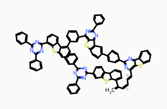 C=C(/C=C\C=C\c1nc(-c2ccc(-c3ccc4sc5c(-c6cccc(-c7cccc8sc9c(-c%10nc(-c%11ccccc%11)nc(-c%11ccccc%11)n%10)cccc9c78)c6)nc(-c6ccccc6)nc5c4c3)cc2)nc2c1sc1ccccc12)C1=CC=CC2c3ccc(-c4nc(-c5ccccc5)nc(-c5ccccc5)n4)cc3SC12